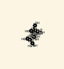 O=C(O)[C@H]1OC(Oc2c(-c3ccc(O)cc3)oc3cc(O)cc(OC(=O)[C@H]4OC(Oc5c(-c6ccc(O)c(O)c6)oc6cc(O)cc(O)c6c5=O)[C@H](O)[C@@H](O)[C@@H]4O)c3c2=O)[C@H](O)[C@@H](O)[C@@H]1O